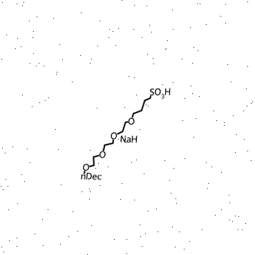 CCCCCCCCCCOCCOCCOCCOCCCCS(=O)(=O)O.[NaH]